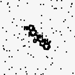 Cc1cccc2c1NC(C(=O)NC1C=NC3NCCN3C1)C2